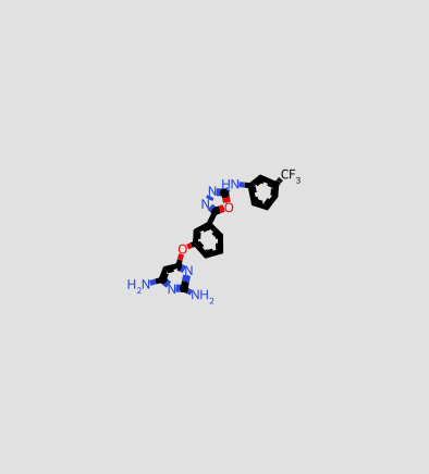 Nc1cc(Oc2cccc(-c3nnc(Nc4cccc(C(F)(F)F)c4)o3)c2)nc(N)n1